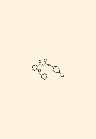 O=C(C#Cc1ccc(Cl)cc1)OC(=O)c1ccccc1OCc1ccccc1